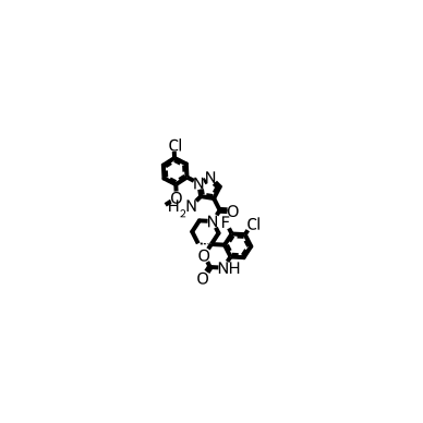 COc1ccc(Cl)cc1-n1ncc(C(=O)N2CCC[C@@]3(C2)OC(=O)Nc2ccc(Cl)c(F)c23)c1N